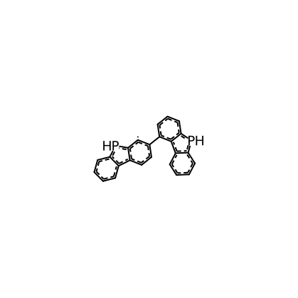 [c]1c(-c2cccc3[pH]c4ccccc4c23)ccc2c1[pH]c1ccccc12